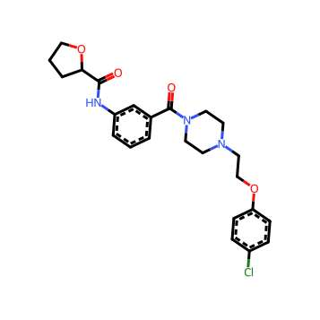 O=C(Nc1cccc(C(=O)N2CCN(CCOc3ccc(Cl)cc3)CC2)c1)C1CCCO1